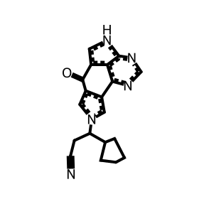 N#CCC(C1CCCC1)n1cc2c(c1)-c1ncnc3[nH]cc(c13)C2=O